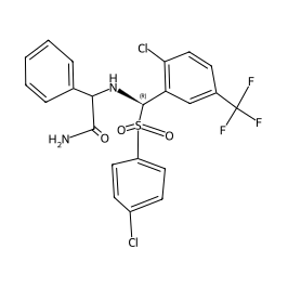 NC(=O)C(N[C@@H](c1cc(C(F)(F)F)ccc1Cl)S(=O)(=O)c1ccc(Cl)cc1)c1ccccc1